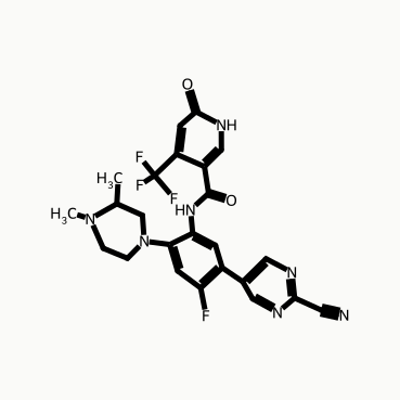 CC1CN(c2cc(F)c(-c3cnc(C#N)nc3)cc2NC(=O)c2c[nH]c(=O)cc2C(F)(F)F)CCN1C